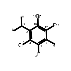 Cc1c(F)c(Cl)c(C(C)C)c(Br)c1F